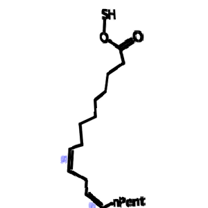 CCCCC/C=C\C/C=C\CCCCCCCC(=O)OS